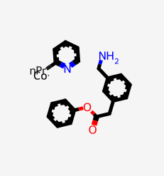 CCCc1ccccn1.NCc1cccc(CC(=O)Oc2ccccc2)c1.[Co]